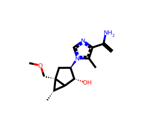 C=C(N)c1ncn([C@@H]2C[C@@]3(COC)C([C@H]2O)[C@@H]3C)c1C